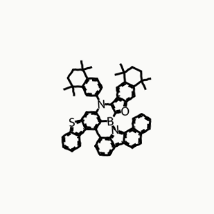 CC1(C)CCC(C)(C)c2cc(N3c4cc5sc6ccccc6c5c5c4B(c4oc6cc7c(cc6c43)C(C)(C)CCC7(C)C)n3c4c-5cccc4c4ccc5ccccc5c43)ccc21